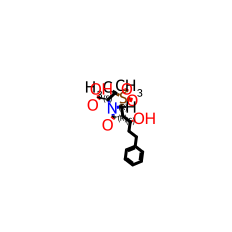 CC1(C)[C@H](C(=O)O)N2C(=O)[C@@H]([C@@H](O)CCc3ccccc3)[C@H]2S1(=O)=O